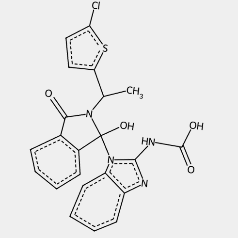 CC(c1ccc(Cl)s1)N1C(=O)c2ccccc2C1(O)n1c(NC(=O)O)nc2ccccc21